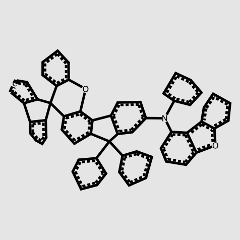 c1ccc(N(c2ccc3c(c2)C(c2ccccc2)(c2ccccc2)c2ccc4c(c2-3)Oc2ccccc2C42c3ccccc3-c3ccccc32)c2cccc3oc4ccccc4c23)cc1